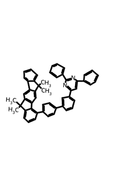 CC1(C)c2ccccc2-c2cc3c(cc21)-c1c(-c2ccc(-c4cccc(-c5cc(-c6ccccc6)nc(-c6ccccc6)n5)c4)cc2)cccc1C3(C)C